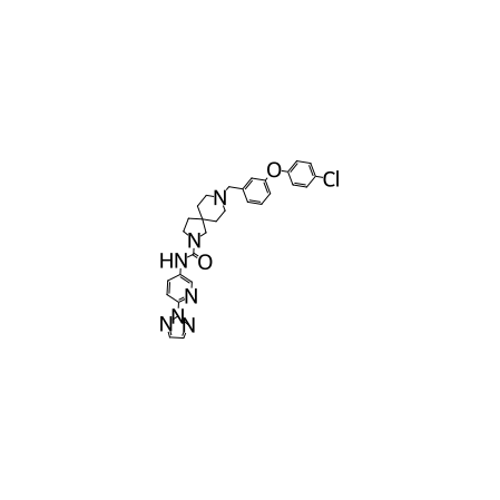 O=C(Nc1ccc(-n2nccn2)nc1)N1CCC2(CCN(Cc3cccc(Oc4ccc(Cl)cc4)c3)CC2)C1